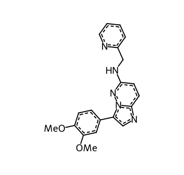 COc1ccc(-c2cnc3ccc(NCc4ccccn4)nn23)cc1OC